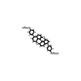 CCCCCCCCCc1ccc(-c2ccc3oc4ccc5c(-c6ccc(CCCCCCCCC)cc6)ccc6oc7ccc2c3c7-c4c65)cc1